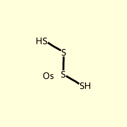 SSSS.[Os]